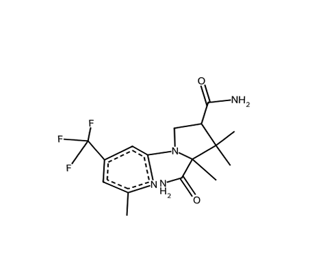 Cc1cc(C(F)(F)F)cc(N2CC(C(N)=O)C(C)(C)C2(C)C(N)=O)n1